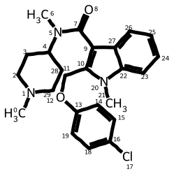 CN1CCC(N(C)C(=O)c2c(COc3ccc(Cl)cc3)n(C)c3ccccc23)CC1